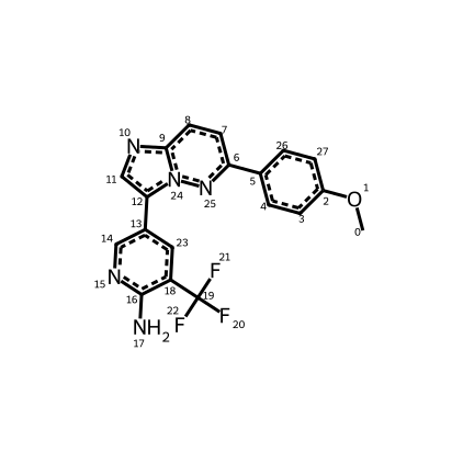 COc1ccc(-c2ccc3ncc(-c4cnc(N)c(C(F)(F)F)c4)n3n2)cc1